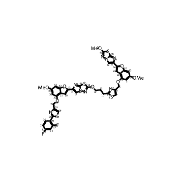 COc1cc(OCc2csc(CCCOc3nn4cc(-c5cc6c(OCc7csc(-c8ccc(F)cc8F)n7)cc(OC)cc6o5)nc4s3)n2)c2cc(-c3cn4nc(OC)sc4n3)oc2c1